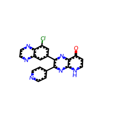 O=c1cc[nH]c2nc(-c3ccncc3)c(-c3cc(Cl)c4nccnc4c3)nc12